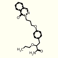 CCCOC(Cc1ccc(OCCCn2ncc3ccccc3c2=O)cc1)C(N)=O